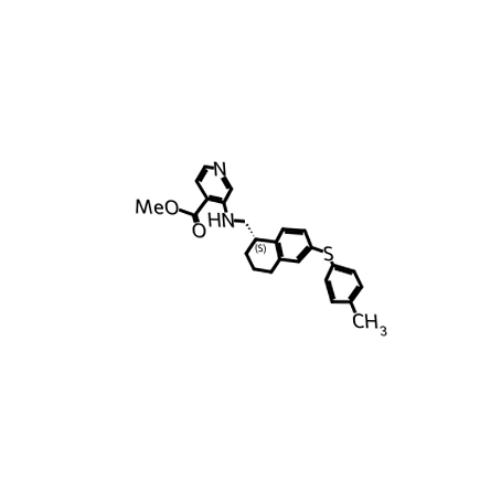 COC(=O)c1ccncc1NC[C@H]1CCCc2cc(Sc3ccc(C)cc3)ccc21